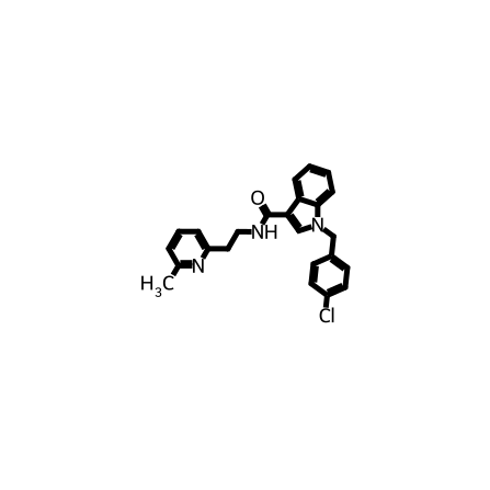 Cc1cccc(CCNC(=O)c2cn(Cc3ccc(Cl)cc3)c3ccccc23)n1